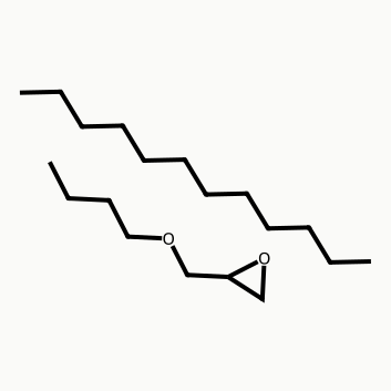 CCCCCCCCCCCC.CCCCOCC1CO1